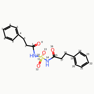 O=C(CCc1ccccc1)NS(=O)(=O)NC(=O)CCc1ccccc1